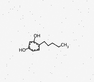 CCCCCc1ccc(O)cc1O